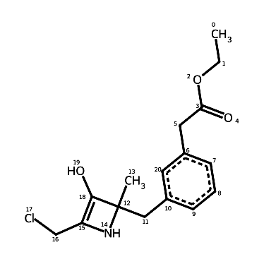 CCOC(=O)Cc1cccc(CC2(C)NC(CCl)=C2O)c1